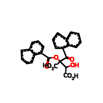 O=C(OC(C(=O)O)(C(=O)c1cccc2ccccc12)C(O)C(=O)O)c1cccc2ccccc12